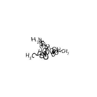 CCCCOP(=O)(O)OC[C@H]1O[C@@H](n2ccc(N)nc2=O)C[C@@H]1OP(=O)(O)OCCCC